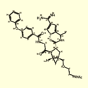 CC(=O)NCCOC[C@@]12C[C@@H]1N(C(=O)CNC(=O)c1ccc(Oc3ccccc3)cc1)[C@H](C(=O)NC(C)c1cc(C(=N)N)cs1)C2